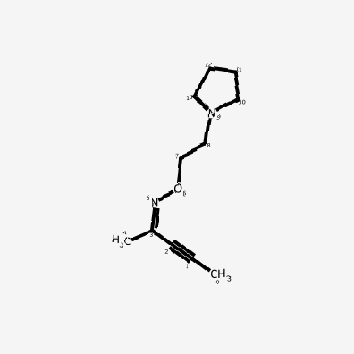 CC#C/C(C)=N\OCCN1CCCC1